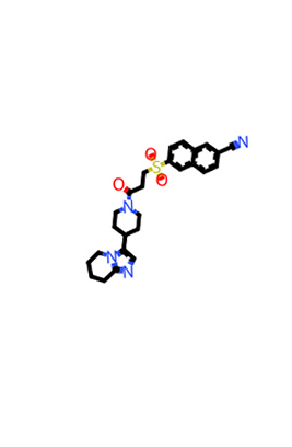 N#Cc1ccc2cc(S(=O)(=O)CCC(=O)N3CCC(c4cnc5n4CCCC5)CC3)ccc2c1